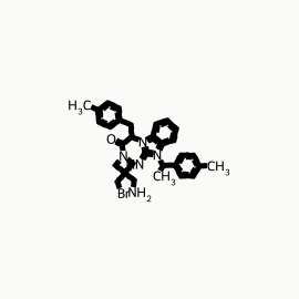 Cc1ccc(CC(C(=O)N2CC(CN)(CBr)C2)n2c(=N)n(C(C)c3ccc(C)cc3)c3ccccc32)cc1